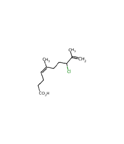 C=C(C)C(Cl)CCC(C)=CCCC(=O)O